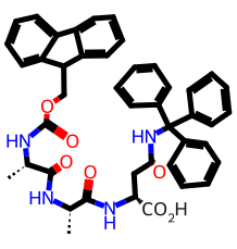 C[C@H](NC(=O)OCC1c2ccccc2-c2ccccc21)C(=O)N[C@@H](C)C(=O)N[C@@H](CC(=O)NC(c1ccccc1)(c1ccccc1)c1ccccc1)C(=O)O